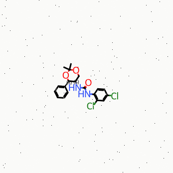 CC1(C)OC[C@H](NC(=O)Nc2ccc(Cl)cc2Cl)[C@@H](c2ccccc2)O1